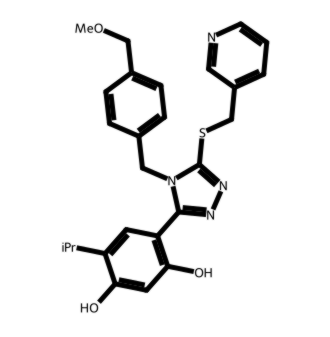 COCc1ccc(Cn2c(SCc3cccnc3)nnc2-c2cc(C(C)C)c(O)cc2O)cc1